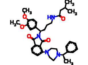 COc1ccc([C@@H](CCCNC(=O)CC(C)C)N2C(=O)c3cccc(N4CCN([C@H](C)c5ccccc5)CC4)c3C2=O)cc1OC